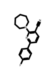 N#Cc1ccc(-c2ccc(F)cc2)nc1N1CCCCCC1